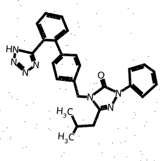 CC(C)Cc1nn(-c2ccccc2)c(=O)n1Cc1ccc(-c2ccccc2-c2nnn[nH]2)cc1